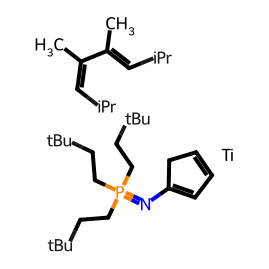 CC(=CC(C)C)C(C)=CC(C)C.CC(C)(C)CCP(CCC(C)(C)C)(CCC(C)(C)C)=NC1=CC=CC1.[Ti]